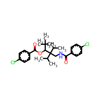 CC(C)C(CNC(=O)c1ccc(Cl)cc1)(C(C)C)C(OC(=O)c1ccc(Cl)cc1)C(C)(C)C